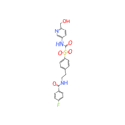 O=C(NCCc1ccc(S(=O)(=O)C(=O)Nc2ccc(CO)nc2)cc1)c1ccc(F)cc1